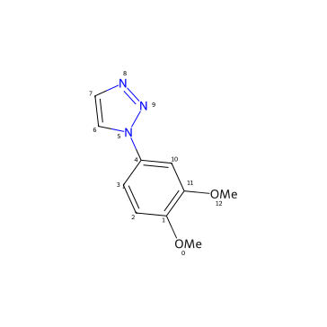 COc1c[c]c(-n2ccnn2)cc1OC